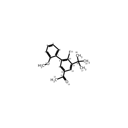 COc1ccccc1-c1cc(C(C)=O)cc(C(C)(C)C)c1F